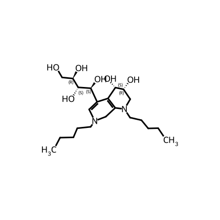 CCCCCN1C=C([C@H](O)[C@H](O)[C@H](O)CO)C2=C(C1)N(CCCCC)C[C@@H](O)[C@H]2O